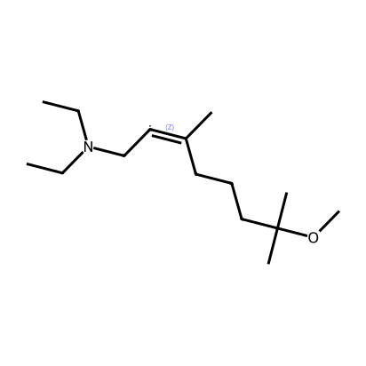 CCN(CC)C/[C]=C(/C)CCCC(C)(C)OC